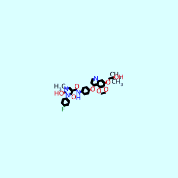 CN1C=C(C(=O)Nc2ccc(Oc3ccnc4cc(OCC(C)(C)O)c5c(c34)OCCO5)cc2)C(=O)N(c2ccc(F)cc2)C1O